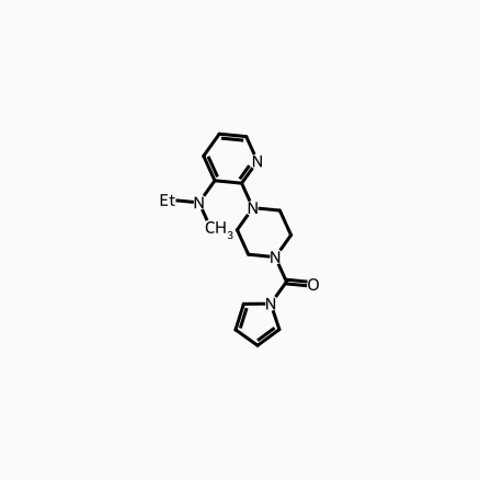 CCN(C)c1cccnc1N1CCN(C(=O)n2cccc2)CC1